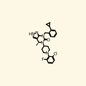 C[C@H]1c2c[nH]nc2N(Cc2ccccc2C2CC2)C(=O)N1C1CCN(c2c(F)cccc2Cl)CC1